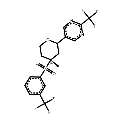 C[C@@]1(S(=O)(=O)c2cccc(C(F)(F)F)c2)CCOC(c2cnc(C(F)(F)F)nc2)C1